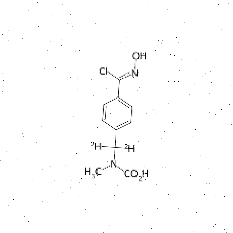 [2H]C([2H])(c1ccc(C(Cl)=NO)cc1)N(C)C(=O)O